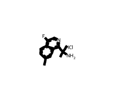 Cc1ccc2c(F)cnc(C(C)(C)N)c2c1.Cl